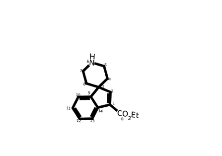 CCOC(=O)C1=CC2(CCNCC2)c2ccccc21